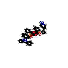 O=P(c1ccccc1)(c1cccc(-c2ccncc2)c1)c1ccccc1Cc1ccccc1P(=O)(c1ccccc1)c1cccc(-n2c3ccccc3c3ccccc32)c1